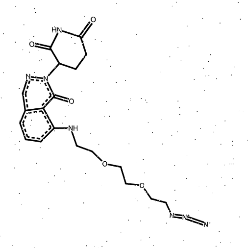 [N-]=[N+]=NCCOCCOCCNc1cccc2cnn(C3CCC(=O)NC3=O)c(=O)c12